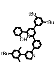 Cc1cc(C(C)(C)C)cc(C)c1-c1ccnc(-c2cccc(-c3cc(-c4cc(C(C)(C)C)cc(C(C)(C)C)c4)cc(-c4ccccc4O)n3)c2)c1